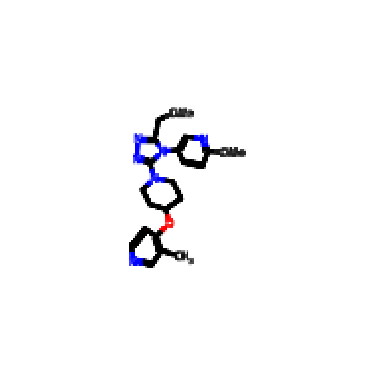 COCc1nnc(N2CCC(Oc3ccncc3C)CC2)n1-c1ccc(OC)nc1